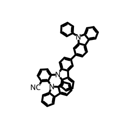 N#Cc1cccc(-n2c3ccccc3c3cc(-c4ccc5c6ccccc6n(-c6ccccc6)c5c4)ccc32)c1-n1c2ccccc2c2ccccc21